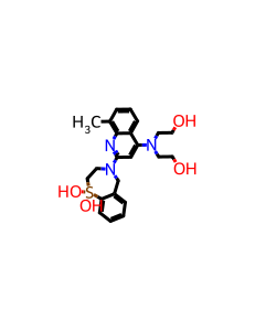 Cc1cccc2c(N(CCO)CCO)cc(N3CCS(O)(O)c4ccccc4C3)nc12